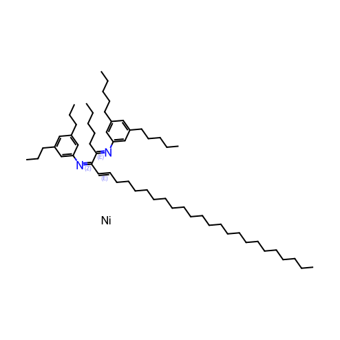 CCCCCCCCCCCCCCCCCCCCCC/C=C/C(=N/c1cc(CCC)cc(CCC)c1)C(/CCCCC)=N/c1cc(CCCCC)cc(CCCCC)c1.[Ni]